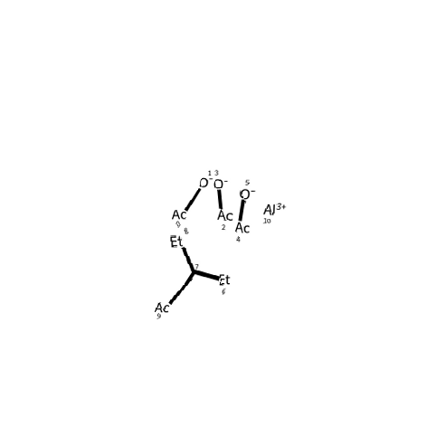 CC(=O)[O-].CC(=O)[O-].CC(=O)[O-].CCC(CC)C(C)=O.[Al+3]